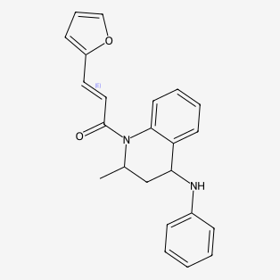 CC1CC(Nc2ccccc2)c2ccccc2N1C(=O)/C=C/c1ccco1